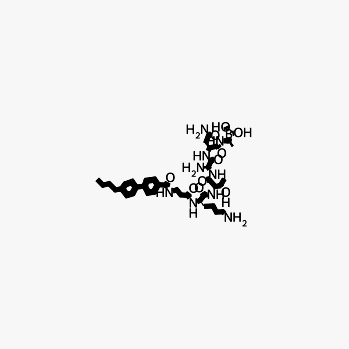 CCCCc1ccc(-c2ccc(C(=O)NCCC(=O)N[C@@H](CCCCN)C(=O)N[C@H](C(=O)N[C@@H](N)C(=O)N[C@@H](CC(N)=O)C(=O)N[C@H](C)B(O)O)C(C)O)cc2)cc1